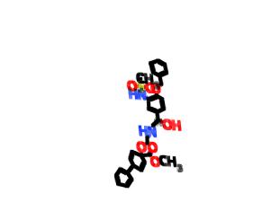 COC(=O)C1(OCCNC[C@H](O)c2ccc(OCc3ccccc3)c(NS(C)(=O)=O)c2)C=CC(c2ccccc2)C=C1